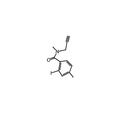 C#CCN(C)C(=O)c1ccc(C)cc1I